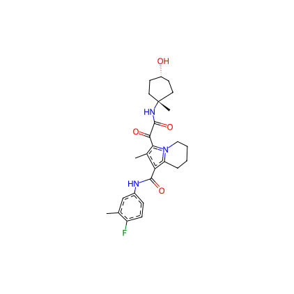 Cc1cc(NC(=O)c2c(C)c(C(=O)C(=O)N[C@]3(C)CC[C@H](O)CC3)n3c2CCCC3)ccc1F